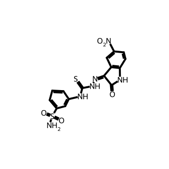 NS(=O)(=O)c1cccc(NC(=S)NN=C2C(=O)Nc3ccc([N+](=O)[O-])cc32)c1